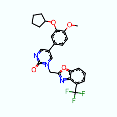 COc1ccc(-c2cnc(=O)n(Cc3nc4c(C(F)(F)F)cccc4o3)c2)cc1OC1CCCC1